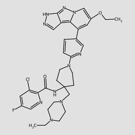 CCOc1cc(-c2ccc(N3CCC(CN4CCN(CC)CC4)(NC(=O)c4ncc(F)cc4Cl)CC3)nc2)c2c3cn[nH]c3nn2c1